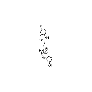 CN1CC[C@@]2(C)c3cc(O)ccc3C[C@@H]1[C@H]2NC(=O)CCC(=O)Nc1ccc(F)cc1F